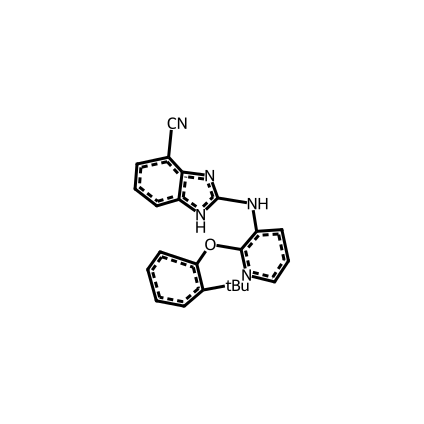 CC(C)(C)c1ccccc1Oc1ncccc1Nc1nc2c(C#N)cccc2[nH]1